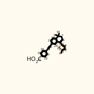 Cc1ccc(C2=CCC(C)(C)c3ccc(C#Cc4ccc(C(=O)O)cc4)cc32)s1